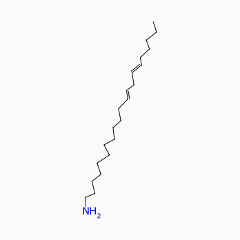 CCCCCC=CCC=CCCCCCCCCCCCN